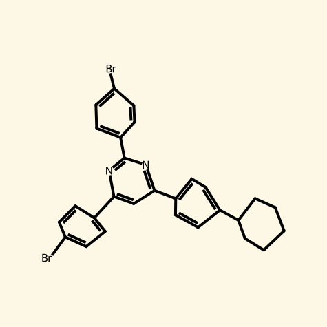 Brc1ccc(-c2cc(-c3ccc(C4CCCCC4)cc3)nc(-c3ccc(Br)cc3)n2)cc1